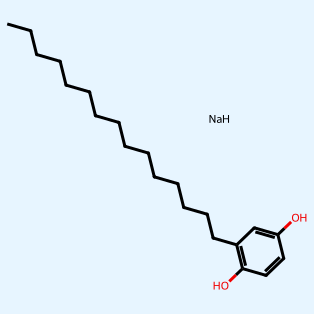 CCCCCCCCCCCCCCCc1cc(O)ccc1O.[NaH]